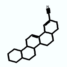 N#CC1=CC2C3=CCC4C5CCCCC5CCC4C3CCC2CC1